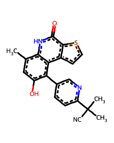 Cc1cc(O)c(-c2ccc(C(C)(C)C#N)nc2)c2c1[nH]c(=O)c1sccc12